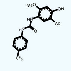 COc1cc(O)c(C(C)=O)cc1NC(=O)Nc1ccc(C(F)(F)F)cc1